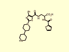 CC(C)c1nc(N2CCC(C3CCNCC3)CC2)sc1C(=O)NC[C@H](NC(=O)c1cccs1)C(=O)O